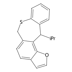 CC(C)C1c2ccccc2SCc2ccc3ccoc3c21